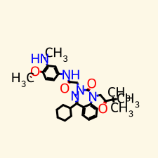 CNc1cc(NC(=O)CN2N=C(C3CCCCC3)c3ccccc3N(CC(=O)C(C)(C)C)C2=O)ccc1OC